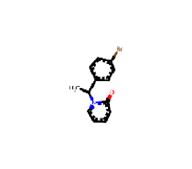 CC(c1ccc(Br)cc1)n1ccccc1=O